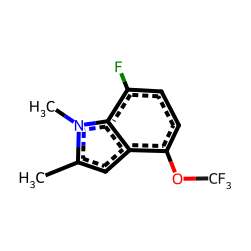 Cc1cc2c(OC(F)(F)F)ccc(F)c2n1C